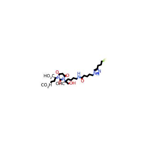 O=CC(CO)(CCCCNC(=O)CCCCn1cc(CCCF)nn1)N1C(=O)CC(=O)N([C@@H](CCC(=O)O)C(=O)O)C1=O